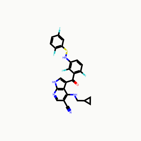 N#Cc1cnc2[nH]cc(C(=O)c3c(F)ccc(NSc4cc(F)ccc4F)c3F)c2c1NCC1CC1